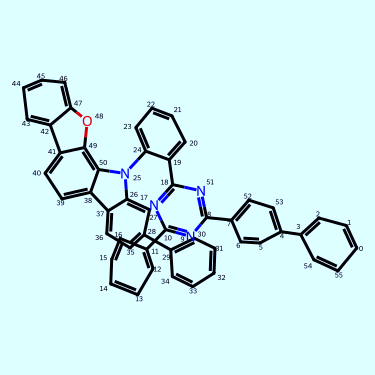 c1ccc(-c2ccc(-c3nc(-c4ccccc4)nc(-c4ccccc4-n4c5cc(-c6ccccc6)ccc5c5ccc6c7ccccc7oc6c54)n3)cc2)cc1